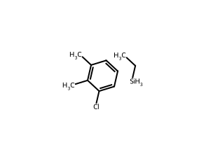 CC[SiH3].Cc1cccc(Cl)c1C